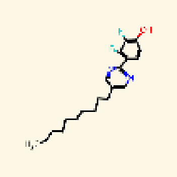 CCCCCCCCCCc1cnc(-c2ccc(O)c(F)c2F)nc1